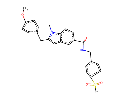 CCS(=O)(=O)c1ccc(CNC(=O)c2ccc3c(c2)cc(Cc2ccc(OC(F)(F)F)cc2)n3C)cc1